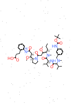 CC[C@H](C)[C@@H]([C@@H](CC(=O)N1CCC[C@H]1[C@H](OC)[C@@H](C)C(=O)Nc1ccccc1CCC(=O)O)OC)N(C)C(=O)[C@@H](NC(=O)[C@H](C(C)C)N(C)Cc1cccc(NC(=O)OC(C)(C)C)c1)C(C)C